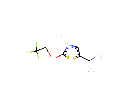 C[C@@H](N)c1cnc(OCC(F)(F)F)s1.Cl